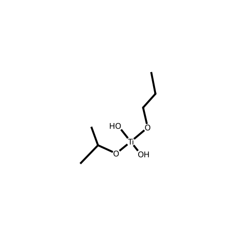 CCC[O][Ti]([OH])([OH])[O]C(C)C